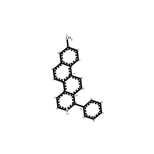 Cc1ccc2c(ccc3c4ccnc(-c5ccccc5)c4ccc23)c1